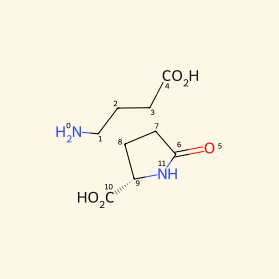 NCCCC(=O)O.O=C1CC[C@@H](C(=O)O)N1